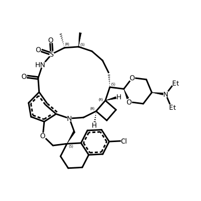 CCN(CC)[C@H]1CO[C@@H]([C@H]2CCC[C@H](C)[C@@H](C)S(=O)(=O)NC(=O)c3ccc4c(c3)N(C[C@@H]3CC[C@H]32)C[C@@]2(CCCc3cc(Cl)ccc32)CO4)OC1